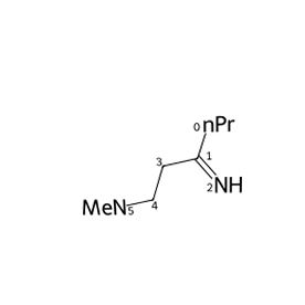 CCCC(=N)CCNC